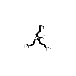 CC(C)CC[Si]([Cr])(CCC(C)C)CCC(C)C